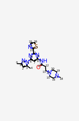 Cc1cc(C)n(-c2cc(NC(=O)CCN3CCN(C)CC3)nc(-c3nccs3)n2)n1